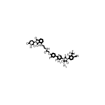 CC1(C)C(=O)N(c2ccc(C#N)c(C(F)(F)F)c2F)C(=S)N1c1cnc(-c2ccc(OCC(=O)NCCNc3cccc4c3C(=O)N(C3CCC(=O)NC3=O)C4=O)c(F)c2)c(F)c1